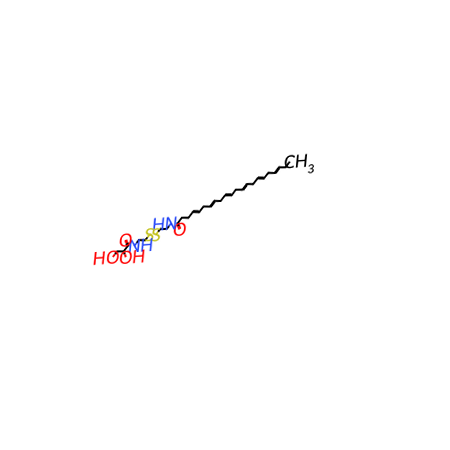 CCC=CCC=CCC=CCC=CCC=CCC=CCCC(=O)NCCSSCCNC(=O)C(O)CO